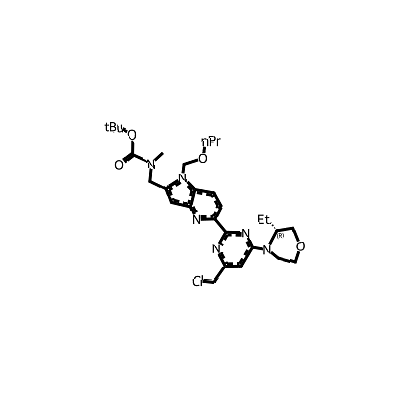 CCCOCn1c(CN(C)C(=O)OC(C)(C)C)cc2nc(-c3nc(CCl)cc(N4CCOC[C@H]4CC)n3)ccc21